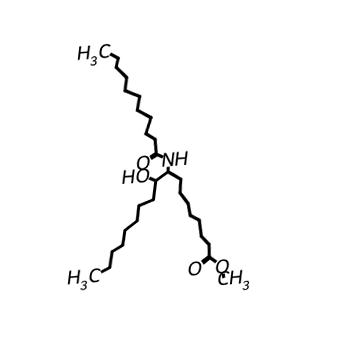 CCCCCCCCCCC(=O)NC(CCCCCCCC(=O)OC)C(O)CCCCCCCC